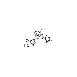 COc1cc(C(CNc2cnc(C)cn2)P2(=O)OCC(C)(C)O2)cc(C)c1O